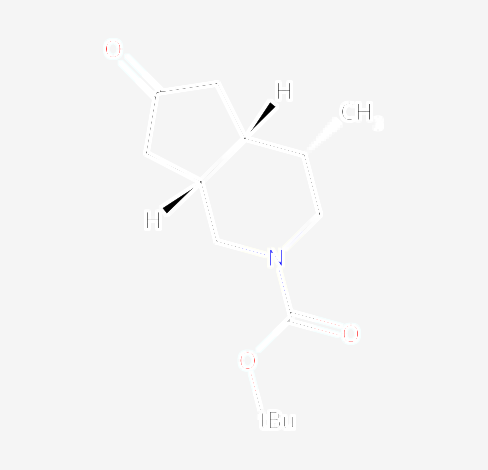 C[C@@H]1CN(C(=O)OC(C)(C)C)C[C@@H]2CC(=O)C[C@@H]21